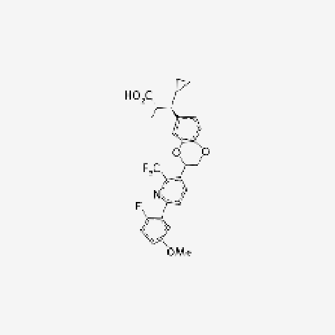 COc1ccc(F)c(-c2ccc(C3COc4ccc([C@H](C5CC5)[C@H](C)C(=O)O)cc4O3)c(C(F)(F)F)n2)c1